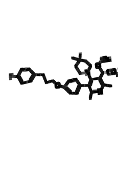 CCOC(=O)[C@@H](OC(C)(C)C)c1c(C)nc(C)c(-c2ccc(OCCCc3ccc(F)cc3)cc2)c1N1CCC(C)(C)CC1